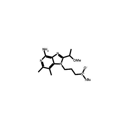 CCCC[S+]([O-])CCCn1c(C(C)OC)nc2c(N)nc(C)c(C)c21